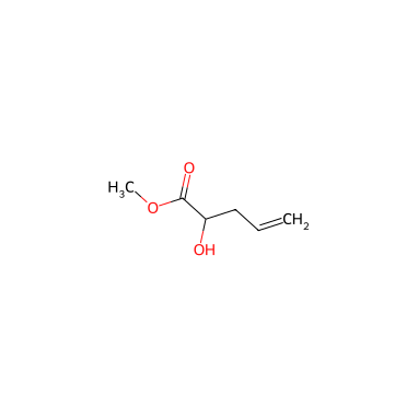 C=CCC(O)C(=O)OC